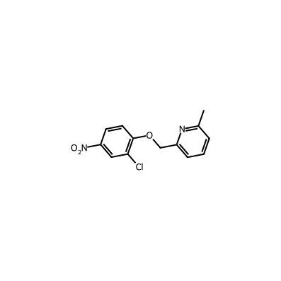 Cc1cccc(COc2ccc([N+](=O)[O-])cc2Cl)n1